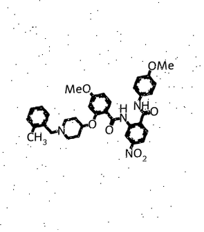 COc1ccc(NC(=O)c2ccc([N+](=O)[O-])cc2NC(=O)c2ccc(OC)cc2OC2CCN(Cc3ccccc3C)CC2)cc1